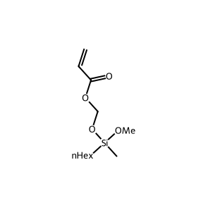 C=CC(=O)OCO[Si](C)(CCCCCC)OC